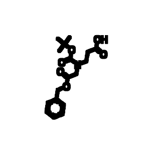 CC(C)(C)OC(=O)N(CCC(=O)O)CC(=O)OCc1ccccc1